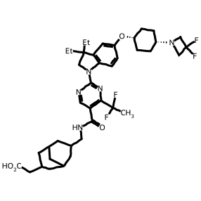 CCC1(CC)CN(c2ncc(C(=O)NCC3CC4CC(CC(=O)O)CC(C3)C4)c(C(C)(F)F)n2)c2ccc(O[C@H]3CC[C@@H](N4CC(F)(F)C4)CC3)cc21